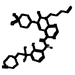 C=CCCCn1c(=O)c(C2CCS(=O)(=O)CC2)cc2c(N[C@H](C)c3cccc(C(F)(F)CC4CCNCC4)c3F)ncnc21